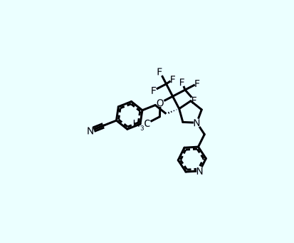 CCOC(C(F)(F)F)(C(F)(F)F)[C@@]1(CCc2ccc(C#N)cc2)CCN(Cc2cccnc2)C1